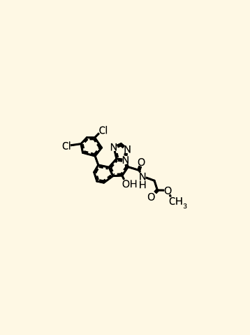 COC(=O)CNC(=O)c1c(O)c2cccc(-c3cc(Cl)cc(Cl)c3)c2c2ncnn12